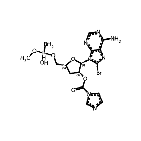 B[PH](O)(OC)OC[C@@H]1C[C@H](OC(=O)n2ccnc2)[C@H](n2c(Br)nc3c(N)ncnc32)O1